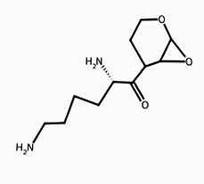 NCCCC[C@H](N)C(=O)C1CCOC2OC21